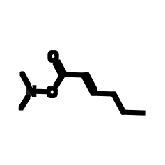 CCCC=CC(=O)ON(C)C